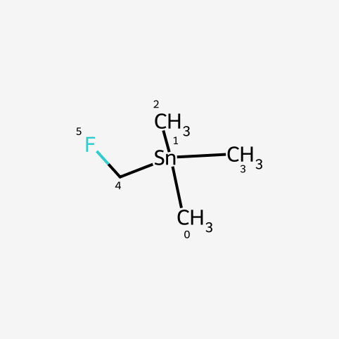 [CH3][Sn]([CH3])([CH3])[CH2]F